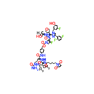 CC(C)[C@H](NC(=O)CCCCCN1C(=O)C=CC1=O)C(=O)N[C@@H](CCCNC(N)=O)C(=O)Nc1ccc(COC(=O)N2C[C@@H](CN(C(=O)N[C@@H](C)CO)[C@@H](c3nc(-c4cc(F)ccc4F)cn3Cc3cc(O)cc(F)c3)C3CCOCC3)[C@@H](F)C2)cc1